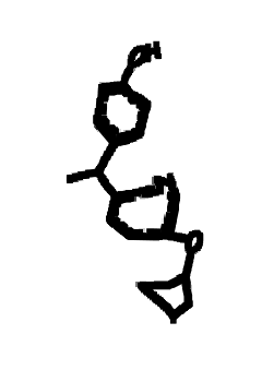 CC(c1ccc(O)cc1)c1ccc(OC2C[CH]C2)cn1